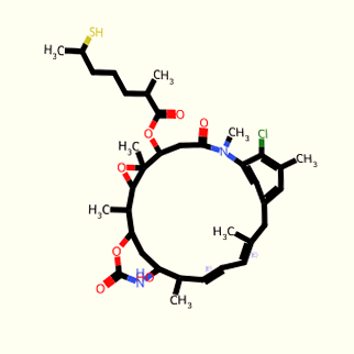 C/C1=C\C=C\C(C)C2(O)CC(OC(=O)N2)C(C)C2OC2(C)C(OC(=O)C(C)CCCC(C)S)CC(=O)N(C)c2cc(cc(C)c2Cl)C1